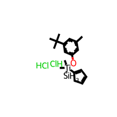 Cc1cc([O][Ti]([CH3])([CH3])([SiH3])[C]2=CC=CC2)cc(C(C)(C)C)c1.Cl.Cl